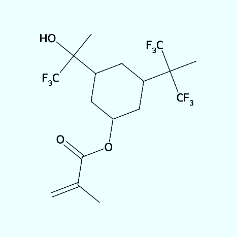 C=C(C)C(=O)OC1CC(C(C)(O)C(F)(F)F)CC(C(C)(C(F)(F)F)C(F)(F)F)C1